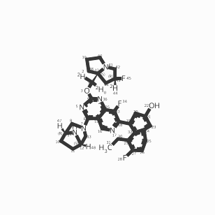 [2H]C([2H])(Oc1nc(N2C[C@H]3CC[C@@H](C2)N3)c2cnc(-c3cc(O)cc4ccc(F)c(CC)c34)c(F)c2n1)[C@@]12CCCN1C[C@]([2H])(F)C2